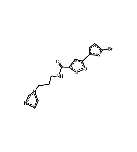 O=C(NCCCn1ccnc1)c1cc(-c2ccc(Br)s2)on1